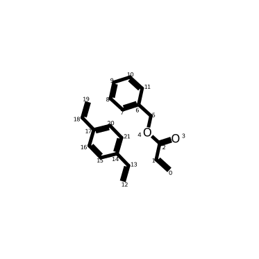 C=CC(=O)OCc1ccccc1.C=Cc1ccc(C=C)cc1